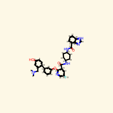 CN(C)Cc1cc(O)ccc1-c1cccc(Oc2ncc(F)cc2C(=O)NC2CCC(NC(=O)c3cccc4[nH]cnc34)CC2)c1